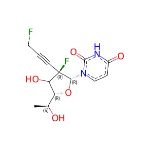 C[C@H](O)[C@H]1O[C@@H](n2ccc(=O)[nH]c2=O)[C@@](F)(C#CCF)C1O